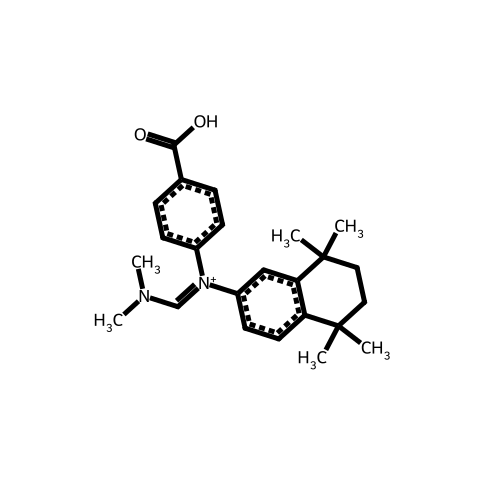 CN(C)C=[N+](c1ccc(C(=O)O)cc1)c1ccc2c(c1)C(C)(C)CCC2(C)C